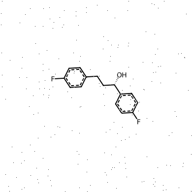 O[C@@H](C[CH]c1ccc(F)cc1)c1ccc(F)cc1